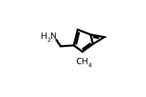 C.NCc1cc2cc-2c1